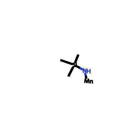 C[Si](C)(C)[NH][Mn]